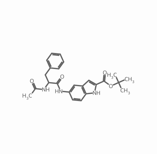 CC(=O)NC(Cc1ccccc1)C(=O)Nc1ccc2[nH]c(C(=O)OC(C)(C)C)cc2c1